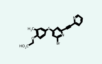 Cc1cc(Sc2cc(Br)nc(C#Cc3ccccn3)c2)ccc1OCC(=O)O